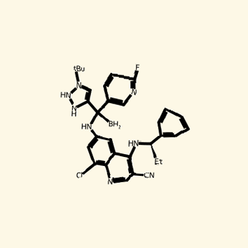 BC(Nc1cc(Cl)c2ncc(C#N)c(N[C@H](CC)c3ccccc3)c2c1)(C1=CN(C(C)(C)C)NN1)c1ccc(F)nc1